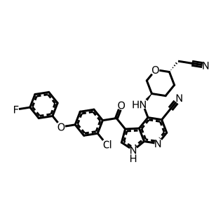 N#CC[C@@H]1CC[C@@H](Nc2c(C#N)cnc3[nH]cc(C(=O)c4ccc(Oc5cccc(F)c5)cc4Cl)c23)CO1